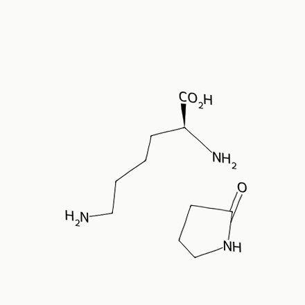 NCCCC[C@H](N)C(=O)O.O=C1CCCN1